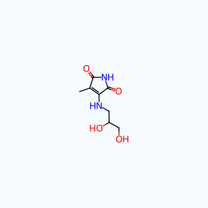 CC1=C(NCC(O)CO)C(=O)NC1=O